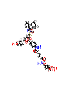 O=C(CCCCCCC(=O)Nc1ccc([C@H]2O[C@@H](CSc3nc(-c4ccccc4)c(-c4ccccc4)o3)C[C@@H](c3ccc(CO)cc3)O2)cc1)NOCc1ccc(B(O)O)cc1